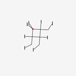 ICC(I)(CI)C(I)(CI)C(I)(CI)CI